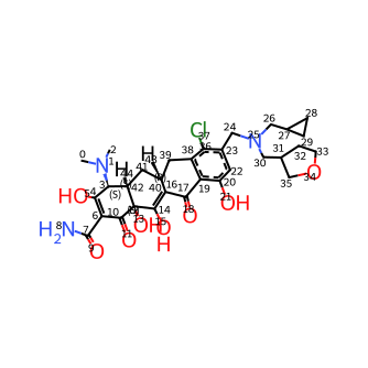 CN(C)[C@@H]1C(O)=C(C(N)=O)C(=O)[C@@]2(O)C(O)=C3C(=O)c4c(O)cc(CN(CC5CC5)CC5CCOC5)c(Cl)c4C[C@H]3C[C@@H]12